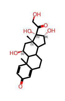 CC12C=CC(=O)C=C1CCC1C2[C@@H](O)C[C@@]2(C)C1C[C@@H](O)[C@]2(O)C(=O)CO